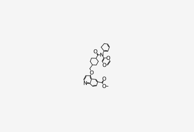 COC(=O)c1ccc2nccc(OCC3CCC(C(=O)N(C4=CC=CCC4)C4=COC=CO4)CC3)c2c1